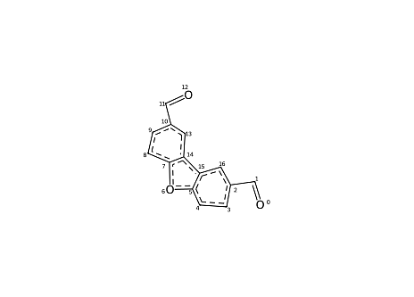 O=Cc1ccc2oc3ccc(C=O)cc3c2c1